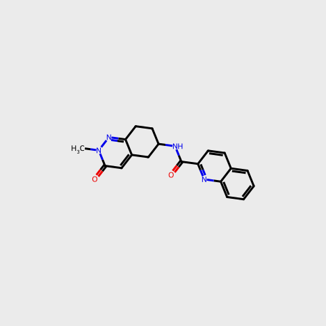 Cn1nc2c(cc1=O)CC(NC(=O)c1ccc3ccccc3n1)CC2